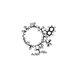 CCCC[C@@H](NC(C)=O)C(=O)N[C@H]1CCC(=O)NCCCCCNC(=O)CNC(=O)CNC(=O)[C@@H](Cc2cccc3ccccc23)NC(=O)[C@H](CCS(C)(=O)=O)NC1=O